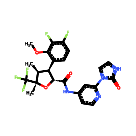 COc1c([C@H]2[C@H](C(=O)Nc3ccnc(-n4cc[nH]c4=O)c3)O[C@@](C)(C(F)(F)F)[C@H]2C)ccc(F)c1F